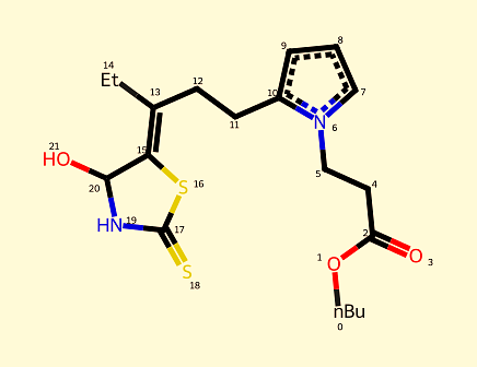 CCCCOC(=O)CCn1cccc1CCC(CC)=C1SC(=S)NC1O